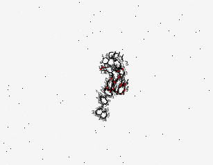 CC1(C)c2ccccc2C2(c3ccccc3-c3cc(N(c4ccc(-c5ccc(-c6cccc7ccccc67)cc5)cc4)c4ccccc4-c4ccccc4-c4ccccc4-c4ccccc4)ccc32)c2ccccc21